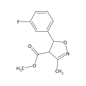 COC(=O)C1C(C)=NOC1c1cccc(F)c1